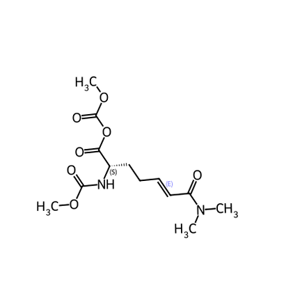 COC(=O)N[C@@H](CC/C=C/C(=O)N(C)C)C(=O)OC(=O)OC